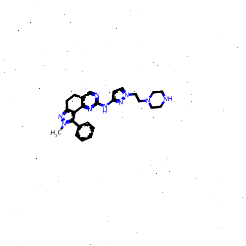 Cn1nc2c(c1-c1ccccc1)-c1nc(Nc3ccn(CCN4CCNCC4)n3)ncc1CC2